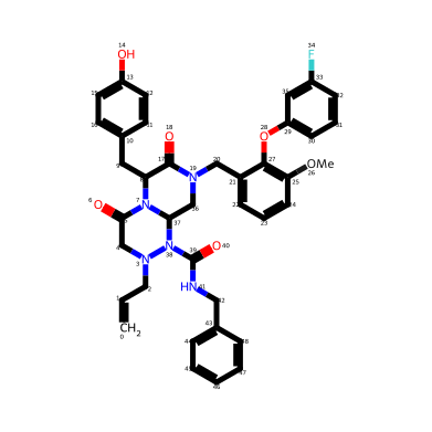 C=CCN1CC(=O)N2C(Cc3ccc(O)cc3)C(=O)N(Cc3cccc(OC)c3Oc3cccc(F)c3)CC2N1C(=O)NCc1ccccc1